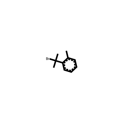 Cc1ccccc1C(C)(C)Br